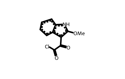 COc1[nH]c2ccccc2c1C(=O)C(=O)Cl